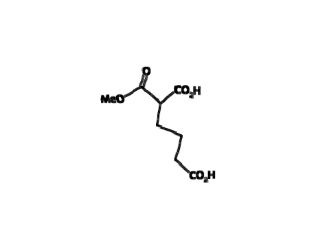 COC(=O)C(CCCC(=O)O)C(=O)O